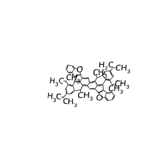 CC(C)c1cc(C(C)C)c2c(c1)C(C)c1c3c(cc4c5c6c(cc14)-c1oc4ccccc4c1C=6c1c(C(C)C)cc(C(C)C)cc1C5C)-c1oc4ccccc4c1C=32